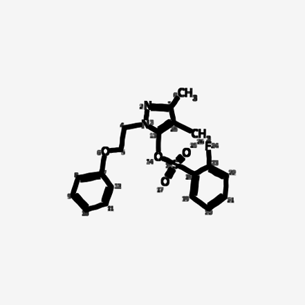 Cc1nn(CCOc2ccccc2)c(OS(=O)(=O)c2ccccc2F)c1C